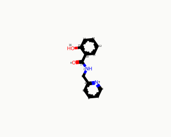 O=C(NCc1ccccn1)c1ccccc1O